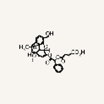 CN1CC[C@]23c4c5ccc(CO)c4O[C@H]2C(OC(=O)[C@@H](OC(=O)CCC(=O)O)c2ccccc2)=CC[C@@]3(O)[C@H]1C5